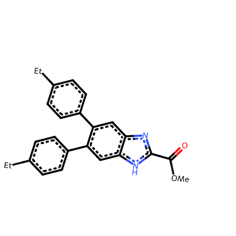 CCc1ccc(-c2cc3nc(C(=O)OC)[nH]c3cc2-c2ccc(CC)cc2)cc1